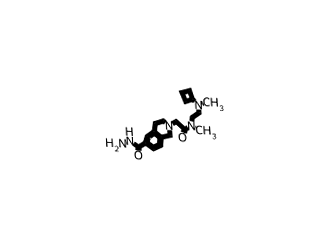 CN(CCN(C)C1CCC1)C(=O)CN1CCc2cc(C(=O)NN)ccc2C1